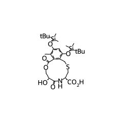 Cc1c(O[Si](C)(C)C(C)(C)C)cc(O[Si](C)(C)C(C)(C)C)c2c1C(=O)OC[C@H](O)C(=O)N[C@H](C(=O)O)CSC2